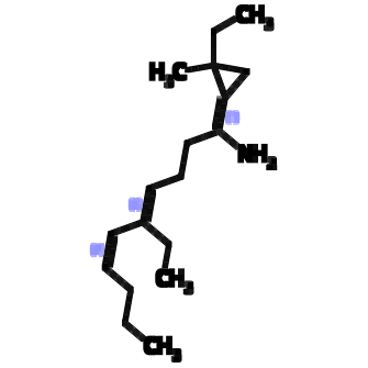 CCC/C=C\C(=C\CC/C(N)=C1/CC1(C)CC)CC